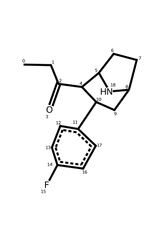 CCC(=O)C1C2CCC(CC1c1ccc(F)cc1)N2